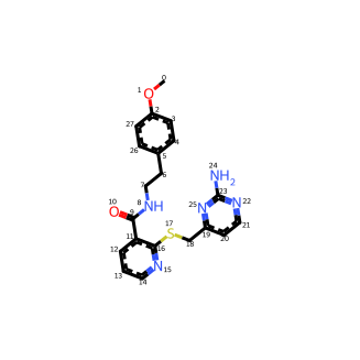 COc1ccc(CCNC(=O)c2cccnc2SCc2ccnc(N)n2)cc1